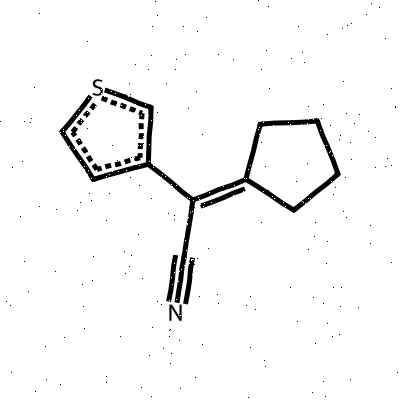 N#CC(=C1CCCC1)c1ccsc1